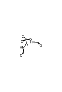 O=CNOP(=O)(Cl)ONC=O